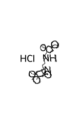 COc1ccc(CNCCCc2noc3cc(OC)c(OC)cc23)c(OC)c1.Cl